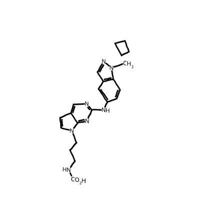 C1CCC1.Cn1ncc2cc(Nc3ncc4ccn(CCCNC(=O)O)c4n3)ccc21